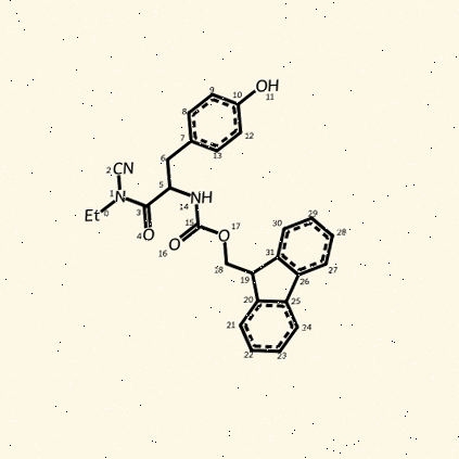 CCN(C#N)C(=O)C(Cc1ccc(O)cc1)NC(=O)OCC1c2ccccc2-c2ccccc21